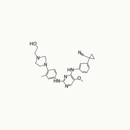 COc1cnc(Nc2ccc(N3CCN(CCO)CC3)c(C)c2)nc1Nc1cccc(C2(C#N)CC2)c1